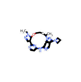 CCN1N=CC2c3nccc(n3)Nc3cc4c(cn3)c(N3CCC3)nn4C(C)CCCOC21